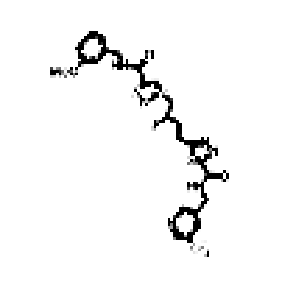 COc1cccc(CNC(=O)c2cn(CC(F)CCc3nnc(C(=O)NCc4cncc(C(F)(F)F)c4)s3)nn2)c1